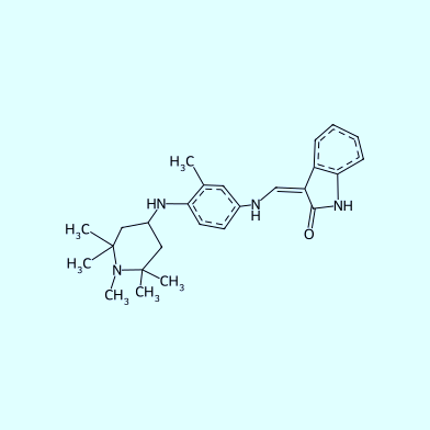 Cc1cc(NC=C2C(=O)Nc3ccccc32)ccc1NC1CC(C)(C)N(C)C(C)(C)C1